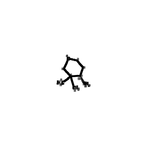 CC1(C)COCC[C@@H]1N